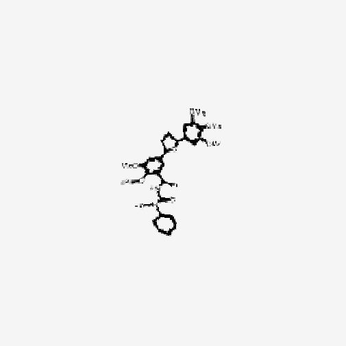 CCCOc1c(OC)cc(C2CCC(c3cc(OC)c(OC)c(OC)c3)O2)cc1C(CC)NC(=O)N(O)C1CCCCC1